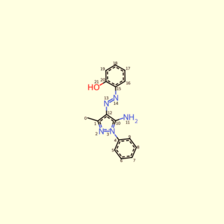 Cc1nn(-c2ccccc2)c(N)c1N=Nc1ccccc1O